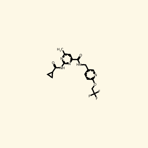 Cc1cc(C(=O)NCc2ccc(OCC(F)(F)F)nc2)nc(NC(=O)C2CC2)n1